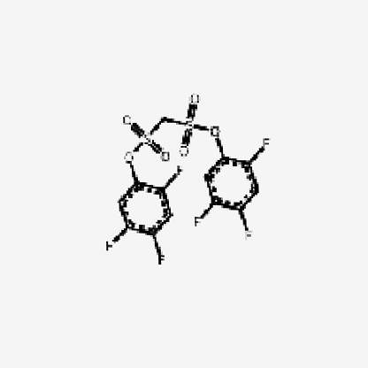 O=S(=O)(CS(=O)(=O)Oc1cc(F)c(F)cc1F)Oc1cc(F)c(F)cc1F